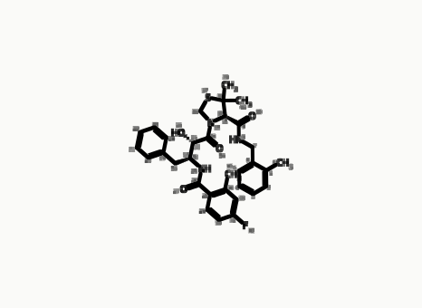 Cc1ccccc1CNC(=O)[C@H]1N(C(=O)[C@@H](O)[C@H](Cc2ccccc2)NC(=O)c2ccc(F)cc2C)CSC1(C)C